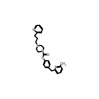 Cc1cccc(Cc2ccc(OC(=O)N3CCN(CCCc4ccccn4)CC3)cc2)n1